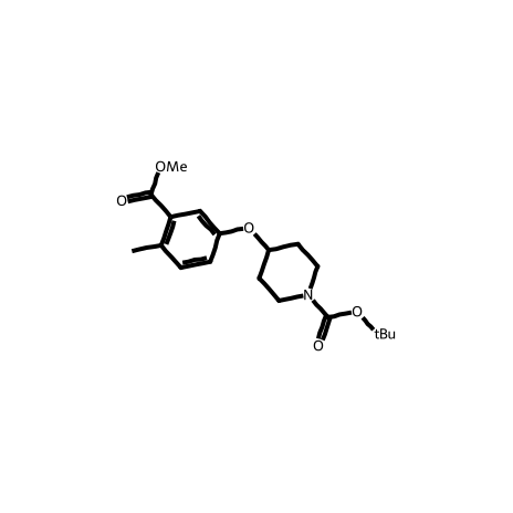 COC(=O)c1cc(OC2CCN(C(=O)OC(C)(C)C)CC2)ccc1C